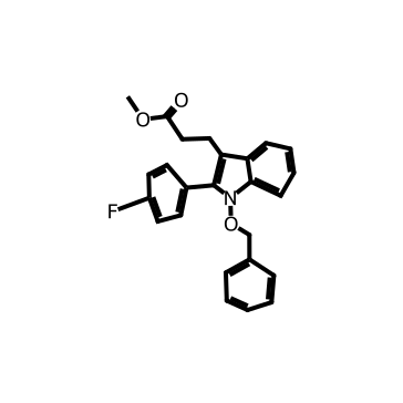 COC(=O)CCc1c(-c2ccc(F)cc2)n(OCc2ccccc2)c2ccccc12